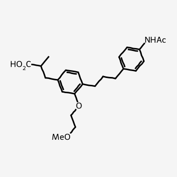 COCCOc1cc(CC(C)C(=O)O)ccc1CCCc1ccc(NC(C)=O)cc1